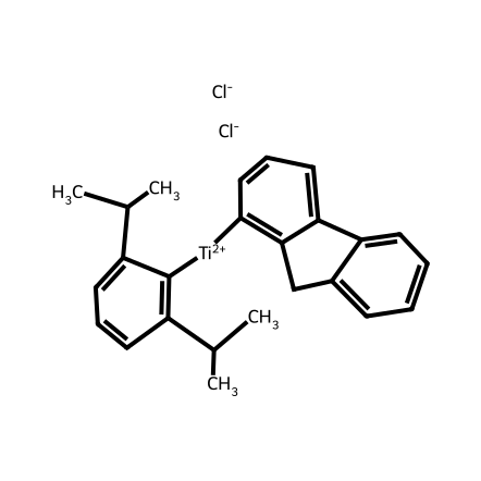 CC(C)c1cccc(C(C)C)[c]1[Ti+2][c]1cccc2c1Cc1ccccc1-2.[Cl-].[Cl-]